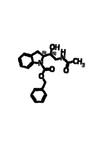 CC(=O)NC[C@H](O)[C@@H]1Cc2ccccc2N1C(=O)OCc1ccccc1